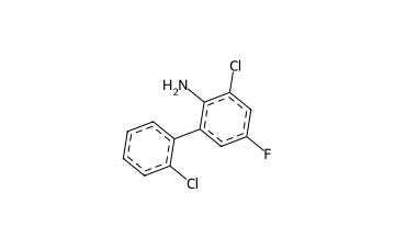 Nc1c(Cl)cc(F)cc1-c1ccccc1Cl